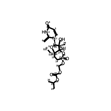 C=C1NC(=O)C=CN1[C@@H]1O[C@]2(CF)CCP(=O)(OCOC(=O)OC(C)C)O[C@H]2[C@@]1(C)O